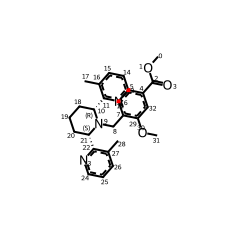 COC(=O)c1ccc(CN2[C@@H](c3ncccc3C)CCC[C@H]2c2ncccc2C)c(OC)c1